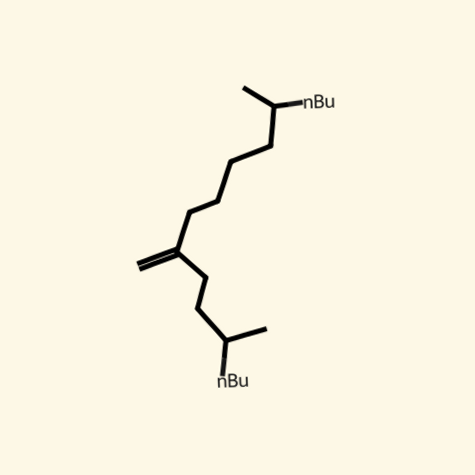 C=C(CCCCC(C)CCCC)CCC(C)CCCC